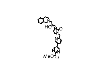 COC(=O)c1ncc(-c2ccc(CN3CCN(C[C@H](O)CN4CCc5ccccc5C4)C3=O)nc2)cn1